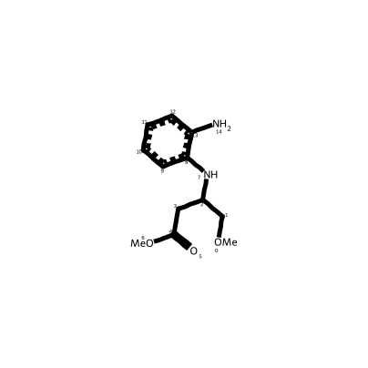 COCC(CC(=O)OC)Nc1ccccc1N